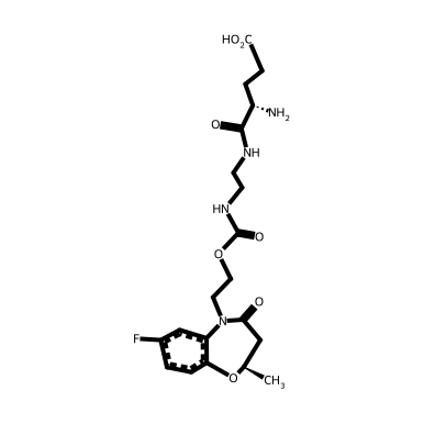 C[C@@H]1CC(=O)N(CCOC(=O)NCCNC(=O)[C@@H](N)CCC(=O)O)c2cc(F)ccc2O1